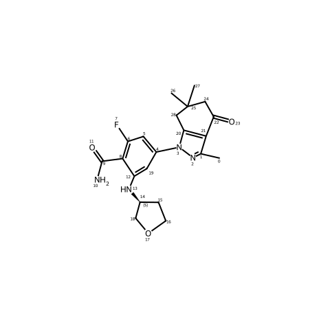 Cc1nn(-c2cc(F)c(C(N)=O)c(N[C@H]3CCOC3)c2)c2c1C(=O)CC(C)(C)C2